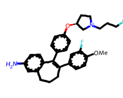 COc1ccc(C2=C(c3ccc(O[C@H]4CCN(CCCF)C4)cc3)c3ccc(N)cc3CCC2)cc1F